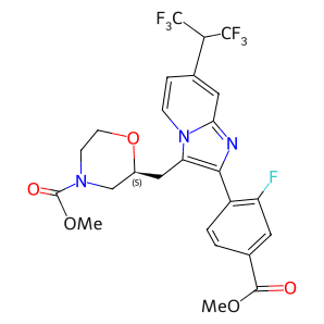 COC(=O)c1ccc(-c2nc3cc(C(C(F)(F)F)C(F)(F)F)ccn3c2C[C@H]2CN(C(=O)OC)CCO2)c(F)c1